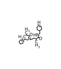 CC(C)C(=O)N(CCC(C)C(=O)NCC1CCNCC1)CCN1CCCC1